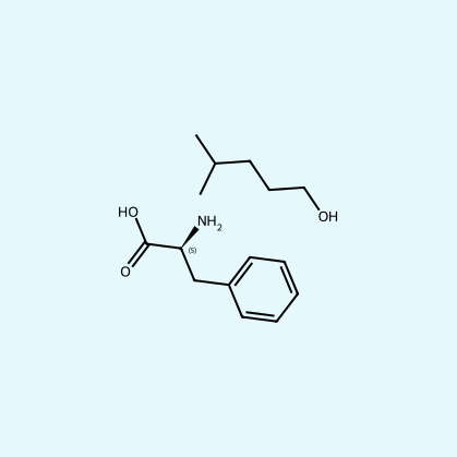 CC(C)CCCO.N[C@@H](Cc1ccccc1)C(=O)O